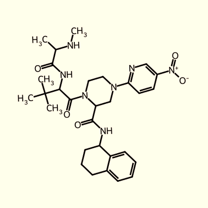 CNC(C)C(=O)NC(C(=O)N1CCN(c2ccc([N+](=O)[O-])cn2)CC1C(=O)NC1CCCc2ccccc21)C(C)(C)C